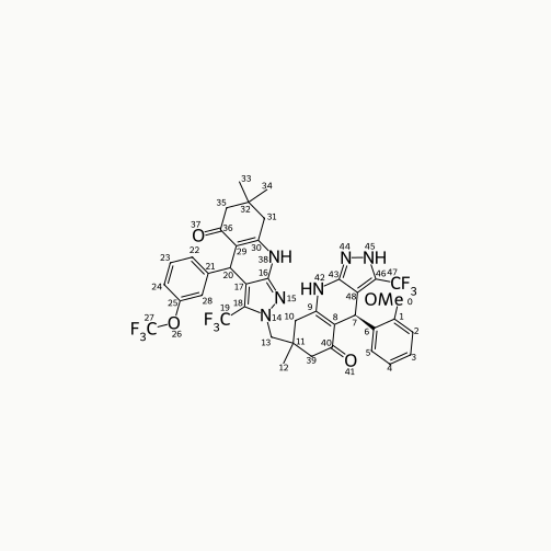 COc1ccccc1[C@H]1C2=C(CC(C)(Cn3nc4c(c3C(F)(F)F)C(c3cccc(OC(F)(F)F)c3)C3=C(CC(C)(C)CC3=O)N4)CC2=O)Nc2n[nH]c(C(F)(F)F)c21